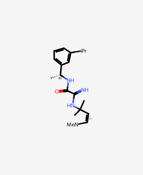 CN/C=C\C(C)(C)NC(=N)C(=O)N[C@H](C)c1cccc(C(C)C)c1